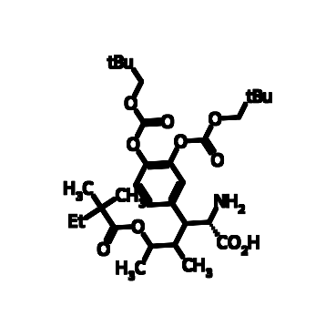 CCC(C)(C)C(=O)OC(C)C(C)C(c1ccc(OC(=O)OCC(C)(C)C)c(OC(=O)OCC(C)(C)C)c1)[C@H](N)C(=O)O